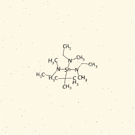 CC[N](C)[Sn]([N](C)CC)([N](C)CC)[C](C)(C)C